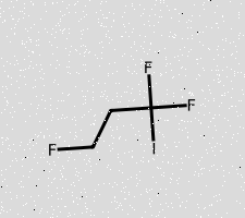 FCCC(F)(F)I